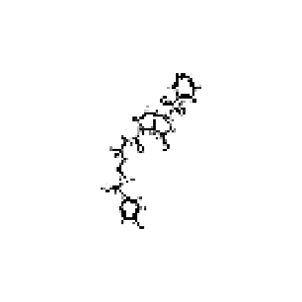 Cc1ccc(C(=O)NCCC(C)CC(=O)N2CCC3C2C(=O)CN3S(=O)(=O)c2cccnc2)cc1